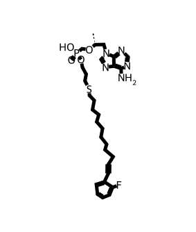 C[C@H](Cn1cnc2c(N)ncnc21)OCP(=O)(O)OCCCSCCCCCCCCCCC#Cc1ccccc1F